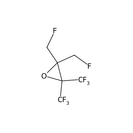 FCC1(CF)OC1(C(F)(F)F)C(F)(F)F